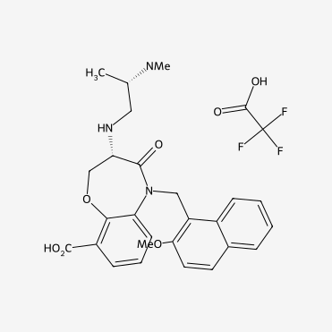 CN[C@@H](C)CN[C@H]1COc2c(C(=O)O)cccc2N(Cc2c(OC)ccc3ccccc23)C1=O.O=C(O)C(F)(F)F